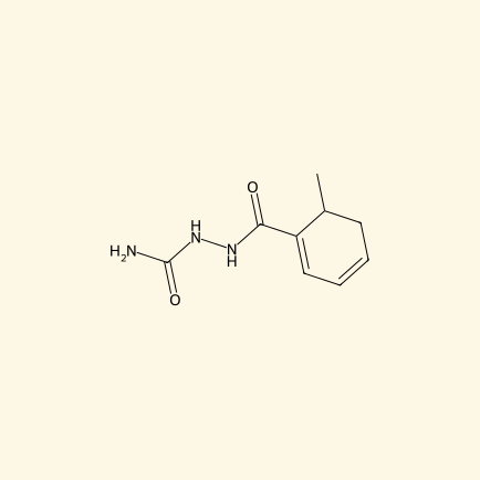 CC1CC=CC=C1C(=O)NNC(N)=O